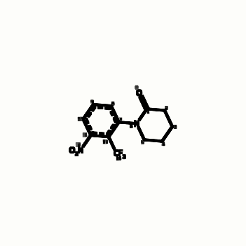 O=C1CCCCN1c1cccc([N+](=O)[O-])c1C(F)(F)F